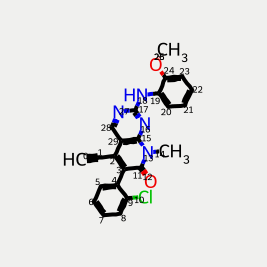 C#Cc1c(-c2ccccc2Cl)c(=O)n(C)c2nc(Nc3ccccc3OC)ncc12